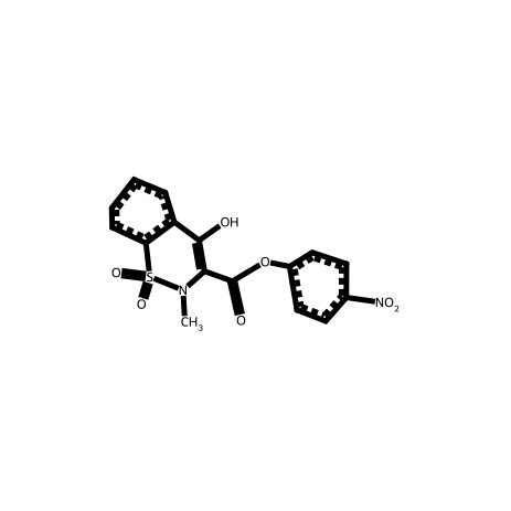 CN1C(C(=O)Oc2ccc([N+](=O)[O-])cc2)=C(O)c2ccccc2S1(=O)=O